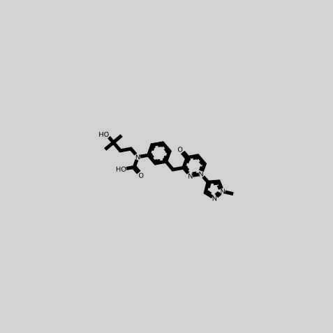 Cn1cc(-n2ccc(=O)c(Cc3cccc(N(CCC(C)(C)O)C(=O)O)c3)n2)cn1